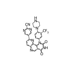 N#Cc1ncc(-c2ccc3ncc4c(=O)[nH]c(=O)n(-c5ccc(N6CCNCC6)c(C(F)(F)F)c5)c4c3n2)cn1